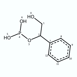 OCC(OP(O)O)c1ccccc1